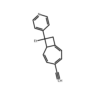 C#CC1=CC=C2CC(CC)(c3ccncc3)C2C=C1